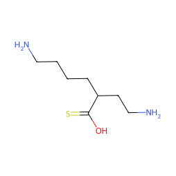 NCCCCC(CCN)C(O)=S